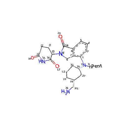 CCCCCN(c1cccc2c1CN(C1CCC(=O)NC1=O)C2=O)[C@H]1CCC[C@@H](CN)C1